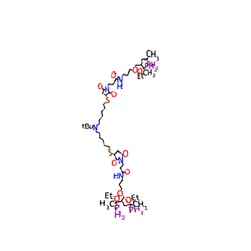 CCOC(C)(P)CC(COCCCNC(=O)CCN1C(=O)CC(SCCCCCCN(CCCCCCSC2CC(=O)N(CCC(=O)NCCCOCC(CC(C)P)C(C)(P)OCC)C2=O)C(C)(C)C)C1=O)C(C)(P)OCC